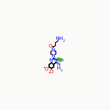 Br.Br.COc1cc2nc(N3CCN(C(=O)CCCN)CC3)nc(N)c2cc1OC